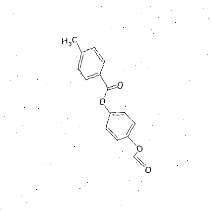 Cc1ccc(C(=O)Oc2ccc(OC=O)cc2)cc1